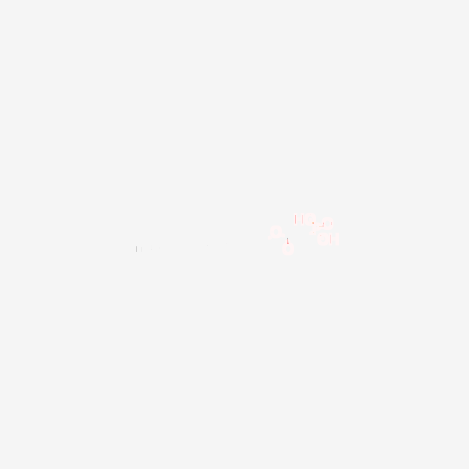 CCCCCCCCCCCCCCCCCCCCOC(=O)CCP(=O)(O)O